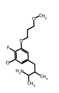 COCCCOc1cc(CC(C)C(C)N)cc(Cl)c1F